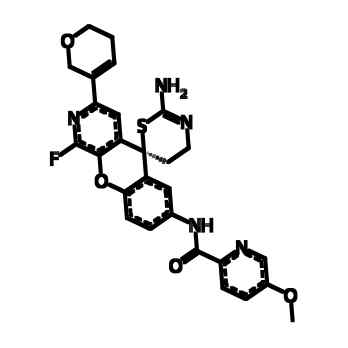 COc1ccc(C(=O)Nc2ccc3c(c2)[C@@]2(CCN=C(N)S2)c2cc(C4=CCCOC4)nc(F)c2O3)nc1